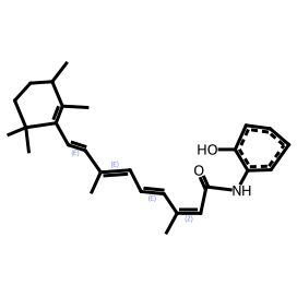 CC1=C(/C=C/C(C)=C/C=C/C(C)=C\C(=O)Nc2ccccc2O)C(C)(C)CCC1C